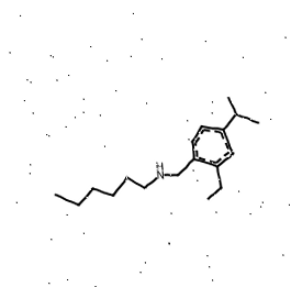 CCCCCCNCc1ccc(C(C)C)cc1CC